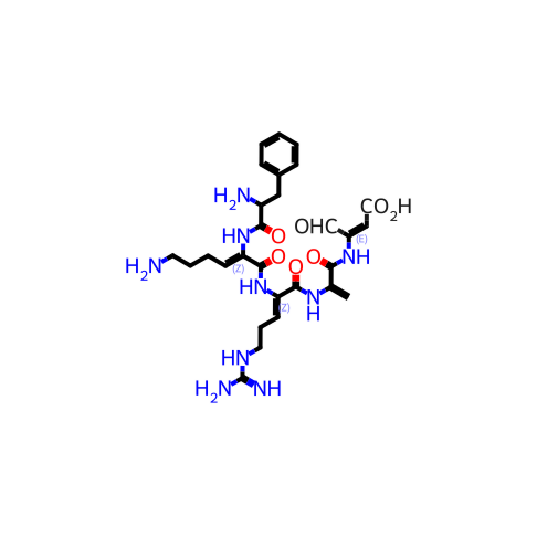 C=C(NC(=O)/C(=C/CCNC(=N)N)NC(=O)/C(=C/CCCN)NC(=O)C(N)Cc1ccccc1)C(=O)N/C(C=O)=C/C(=O)O